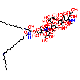 CCCCCCCC/C=C\CCCCCCCCCCCCCC(=O)N[C@@H](CO[C@@H]1OC(CO)[C@@H](O[C@@H]2OC(CO)[C@H](O)[C@H](O[C@@H]3OC(CO)[C@@H](O[C@@H]4OC(CO)[C@H](O)[C@H](O[C@]5(C(=O)O)CC(O)[C@@H](NC(C)=O)C([C@H](O)[C@H](O)CO)O5)C4O)[C@H](O[C@H]4OC(C)[C@@H](O)C(O)[C@@H]4O)C3NC(C)=O)C2O)[C@H](O)C1O)[C@H](O)/C=C/CCCCCCCCCCCCC